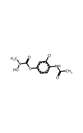 CC(=O)Nc1ccc(OC(=O)N(C)O)cc1Cl